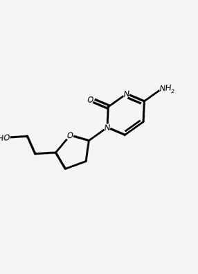 Nc1ccn(C2CCC(CCO)O2)c(=O)n1